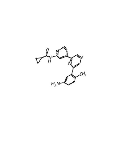 Cc1ccc(N)cc1-c1cncc(-c2ccnc(NC(=O)C3CC3)c2)n1